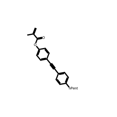 C=C(C)C(=O)Oc1ccc(C#Cc2ccc(CCCCC)cc2)cc1